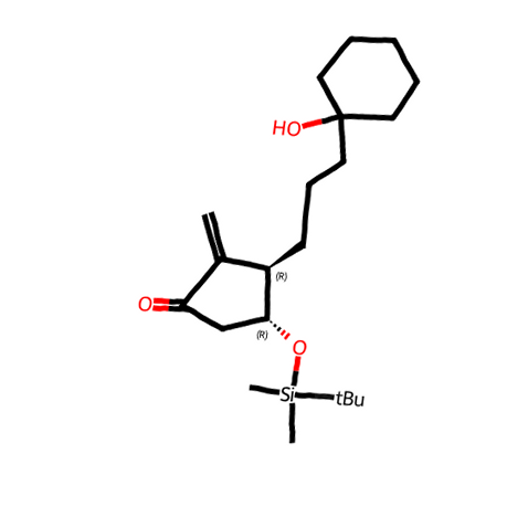 C=C1C(=O)C[C@@H](O[Si](C)(C)C(C)(C)C)[C@@H]1CCCC1(O)CCCCC1